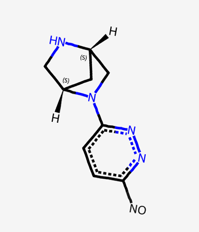 O=Nc1ccc(N2C[C@@H]3C[C@H]2CN3)nn1